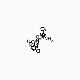 Nc1cc(-c2nccs2)nn1CC(=O)N1CC[C@@]2(C1)OC(=O)Nc1ccc(Cl)c(F)c12